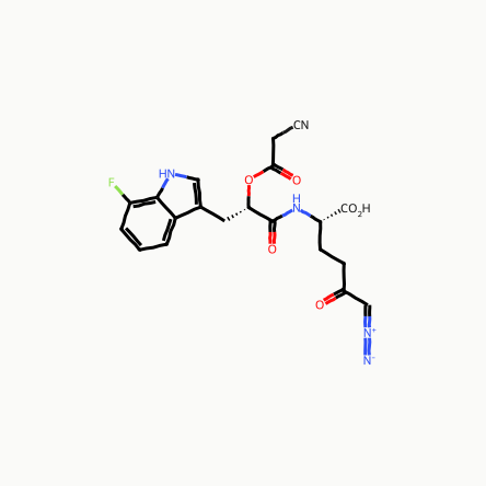 N#CCC(=O)O[C@@H](Cc1c[nH]c2c(F)cccc12)C(=O)N[C@@H](CCC(=O)C=[N+]=[N-])C(=O)O